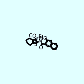 CCOC(=O)c1c(NC(=O)c2cc3ccccc3cc2O)sc2c1CCCC2